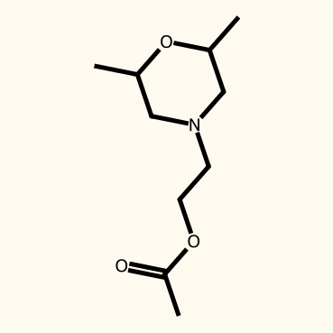 CC(=O)OCCN1CC(C)OC(C)C1